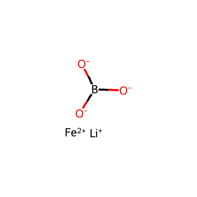 [Fe+2].[Li+].[O-]B([O-])[O-]